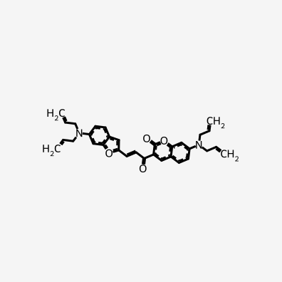 C=CCN(CC=C)c1ccc2cc(C=CC(=O)c3cc4ccc(N(CC=C)CC=C)cc4oc3=O)oc2c1